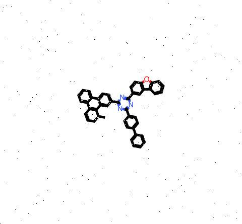 CC1CC=Cc2c1c1cc(-c3nc(-c4ccc(-c5ccccc5)cc4)nc(-c4ccc5oc6c(c5c4)C=C=C=C6)n3)ccc1c1ccccc21